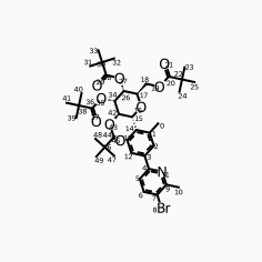 Cc1cc(-c2ccc(Br)c(C)n2)ccc1[C@H]1O[C@H](COC(=O)C(C)(C)C)[C@@H](OC(=O)C(C)(C)C)[C@@H](OC(=O)C(C)(C)C)[C@@H]1OC(=O)C(C)(C)C